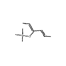 CC=CC(=CC)O[Si](C)(C)C